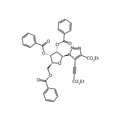 CCOC(=O)C#Cc1c(C(=O)OCC)nnn1[C@H]1O[C@@H](COC(=O)c2ccccc2)[C@H](OC(=O)c2ccccc2)[C@@H]1OC(=O)c1ccccc1